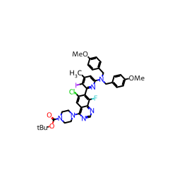 COc1ccc(CN(Cc2ccc(OC)cc2)c2cc(C)c(I)c(-c3c(Cl)cc4c(N5CCN(C(=O)OC(C)(C)C)CC5)ncnc4c3F)n2)cc1